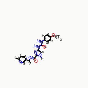 Cc1ccc(C(C)NC(=O)c2nc(NC(=O)Nc3ccc(OC(F)(F)F)cc3)cn2C)cn1